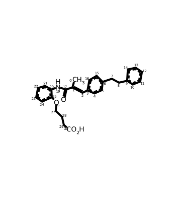 C/C(=C\c1ccc(CCc2ccccc2)cc1)C(=O)Nc1ccccc1OCCCC(=O)O